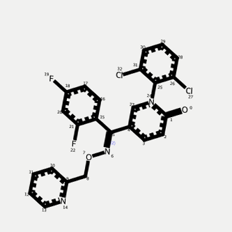 O=c1ccc(/C(=N/OCc2ccccn2)c2ccc(F)cc2F)cn1-c1c(Cl)cccc1Cl